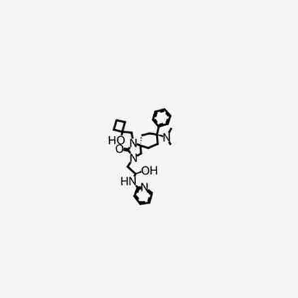 CN(C)[C@]1(c2ccccc2)CC[C@]2(CC1)CN(C[C@@H](O)Nc1ccccn1)C(=O)N2CC1(O)CCC1